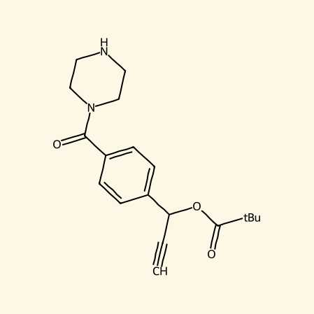 C#CC(OC(=O)C(C)(C)C)c1ccc(C(=O)N2CCNCC2)cc1